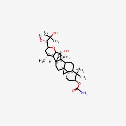 CCO[C@@H](C1C[C@@H](C)[C@H]2C(O1)[C@H](O)[C@@]1(C)C3CC[C@H]4C(C)(C)C(OC(N)=O)CC[C@@]45C[C@@]35CC[C@]21C)C(C)(C)O